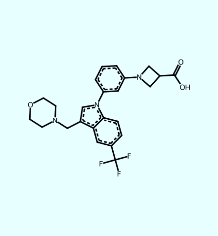 O=C(O)C1CN(c2cccc(-n3cc(CN4CCOCC4)c4cc(C(F)(F)F)ccc43)c2)C1